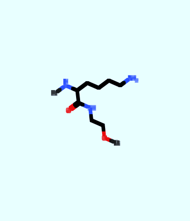 CCNC(CCCCN)C(=O)NCCOCC